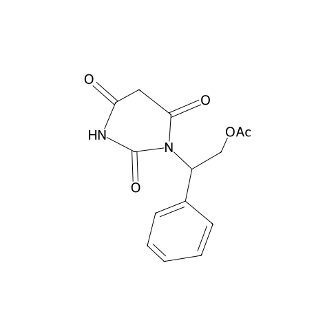 CC(=O)OCC(c1ccccc1)N1C(=O)CC(=O)NC1=O